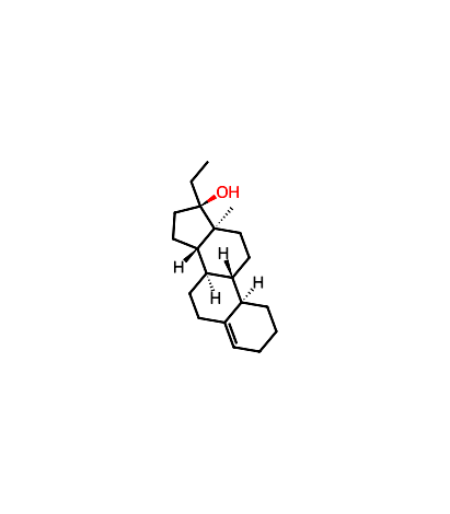 CC[C@@]1(O)CC[C@H]2[C@@H]3CCC4=CCCC[C@@H]4[C@H]3CC[C@@]21C